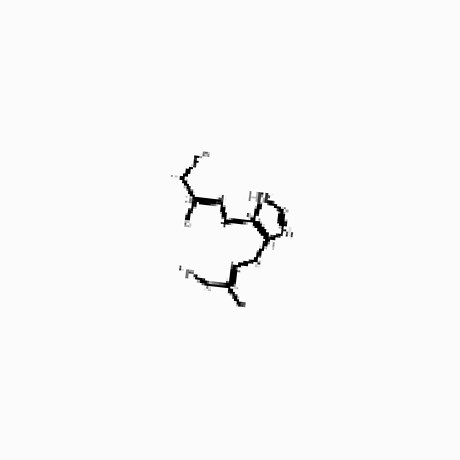 C/C(=C\Cc1nc[nH]c1C/C=C(\C)CF)CF